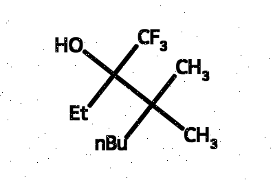 CCCCC(C)(C)C(O)(CC)C(F)(F)F